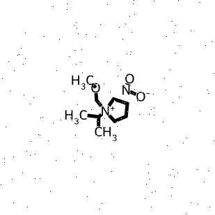 COC[N+]1(C(C)C)CCCC1.O=N[O-]